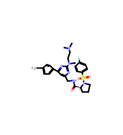 CN(C)CCN(C)c1nc(CNC(=O)[C@@H]2CCCN2S(=O)(=O)c2ccc(F)cc2)cc(-c2ccc(C(F)(F)F)cc2)n1